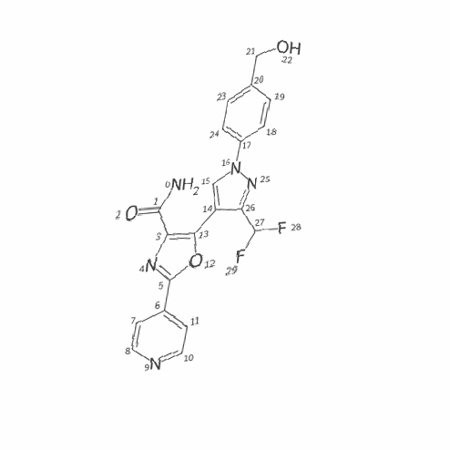 NC(=O)c1nc(-c2ccncc2)oc1-c1cn(-c2ccc(CO)cc2)nc1C(F)F